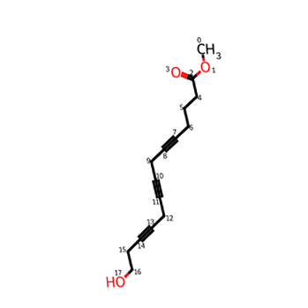 COC(=O)CCCC#CCC#CCC#CCCO